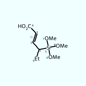 CCC(/C=C/C(=O)O)[Si](OC)(OC)OC